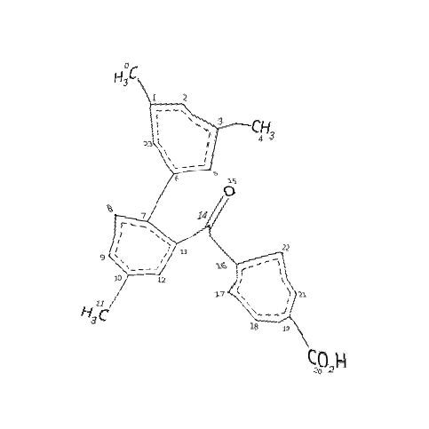 Cc1cc(C)cc(-c2ccc(C)cc2C(=O)c2ccc(C(=O)O)cc2)c1